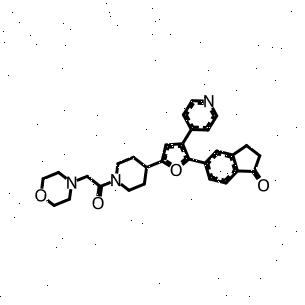 O=C1CCc2cc(-c3oc(C4CCN(C(=O)CN5CCOCC5)CC4)cc3-c3ccncc3)ccc21